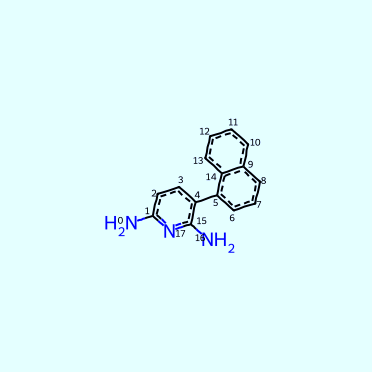 Nc1ccc(-c2cccc3ccccc23)c(N)n1